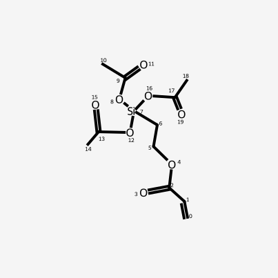 C=CC(=O)OCC[Si](OC(C)=O)(OC(C)=O)OC(C)=O